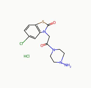 Cl.NN1CCN(C(=O)Cn2c(=O)sc3ccc(Cl)cc32)CC1